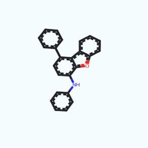 c1ccc(Nc2ccc(-c3ccccc3)c3c2oc2ccccc23)cc1